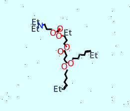 [CH2]CC(CCOC(=O)CCC(OCCCC/C=C\CC)OCCCC/C=C\CC)OC(=O)OCCCN(CC)CC